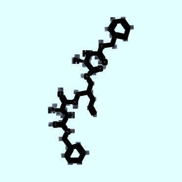 C=CCC(COC(=O)[C@@H](NC(=O)OCc1ccccc1)C(C)C)COC(=O)[C@@H](NC(=O)OCc1ccccc1)C(C)C